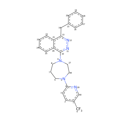 FC(F)(F)c1ccc(N2CCCN(c3nnc(Cc4ccccc4)c4ccccc34)CC2)nc1